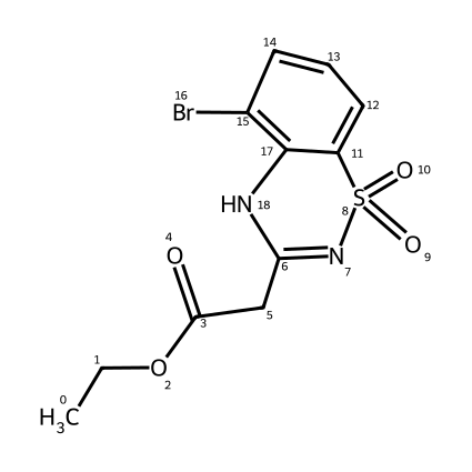 CCOC(=O)CC1=NS(=O)(=O)c2cccc(Br)c2N1